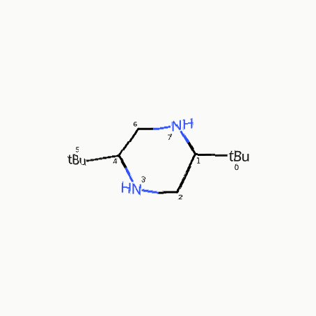 CC(C)(C)C1CNC(C(C)(C)C)CN1